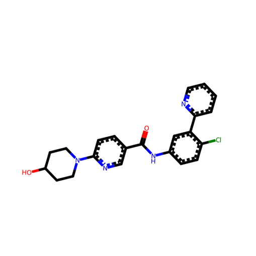 O=C(Nc1ccc(Cl)c(-c2ccccn2)c1)c1ccc(N2CCC(O)CC2)nc1